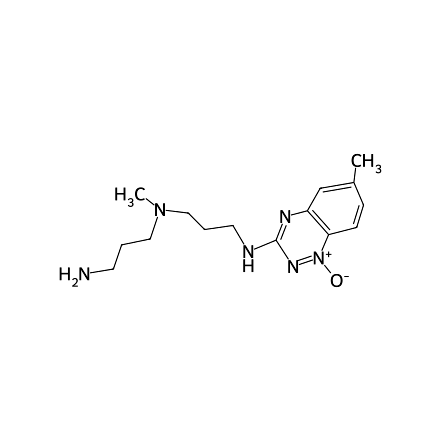 Cc1ccc2c(c1)nc(NCCCN(C)CCCN)n[n+]2[O-]